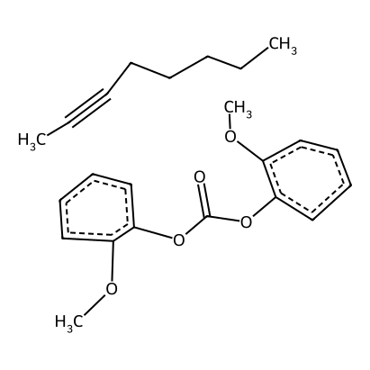 CC#CCCCCC.COc1ccccc1OC(=O)Oc1ccccc1OC